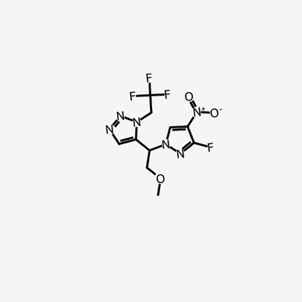 COCC(c1cnnn1CC(F)(F)F)n1cc([N+](=O)[O-])c(F)n1